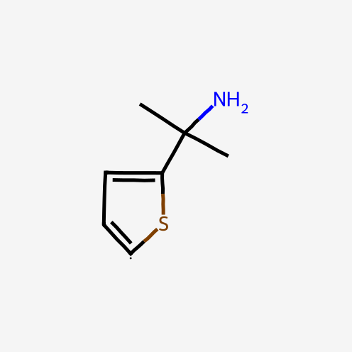 CC(C)(N)c1cc[c]s1